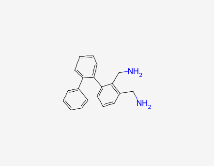 NCc1cccc(-c2ccccc2-c2ccccc2)c1CN